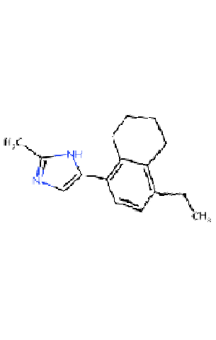 CCc1ccc(-c2cnc(C)[nH]2)c2c1CCCC2